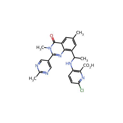 Cc1cc(C(C)Nc2ccc(Cl)nc2C(=O)O)c2nc(-c3cnc(C)nc3)n(C)c(=O)c2c1